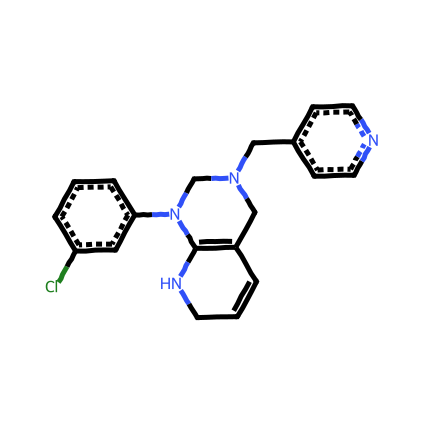 Clc1cccc(N2CN(Cc3ccncc3)CC3=C2NCC=C3)c1